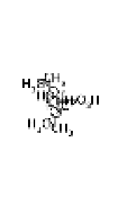 CC(S(=O)(=O)O)S(=O)(=O)O.CN(C)c1ccc2c(c1)Sc1cc(N(C)C)ccc1N2